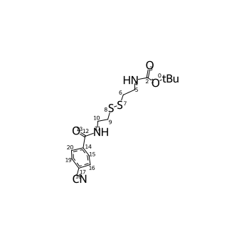 CC(C)(C)OC(=O)NCCSSCCNC(=O)c1ccc(C#N)cc1